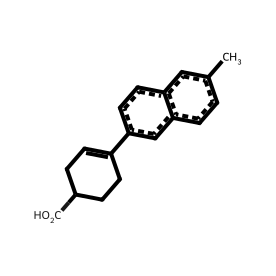 Cc1ccc2cc(C3=CCC(C(=O)O)CC3)ccc2c1